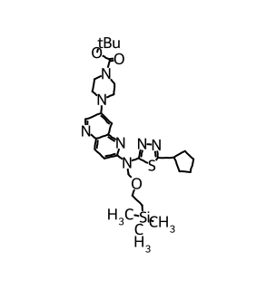 CC(C)(C)OC(=O)N1CCN(c2cnc3ccc(N(COCC[Si](C)(C)C)c4nnc(C5CCCC5)s4)nc3c2)CC1